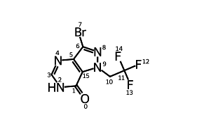 O=c1[nH]cnc2c(Br)nn(CC(F)(F)F)c12